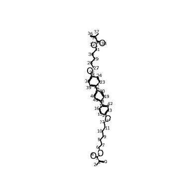 C=C(C)C(=O)OCCCCCCCOc1ccc(-c2ccc(-c3ccc(OCCCCCOC(=O)C(=C)C)cc3)cc2)cc1